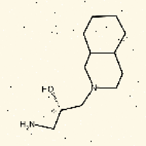 NC[C@H](O)CN1CCC2CCCCC2C1